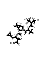 CC(C)(C)C(NC(=O)C(C(F)(F)F)C(F)(F)F)C(=O)N1C[C@H]2C([C@H]1C(=O)NC(CC1CC1)C(=O)C(N)=O)C2(C)C